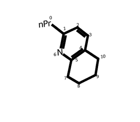 CCCc1ccc2c(n1)CCCC2